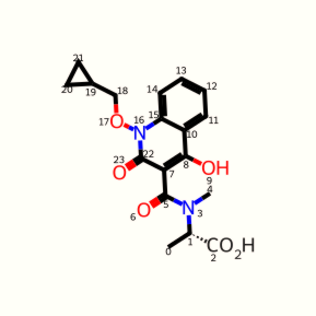 C[C@@H](C(=O)O)N(C)C(=O)c1c(O)c2ccccc2n(OCC2CC2)c1=O